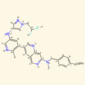 COc1ccc(CN(C)c2cc3ncc(-c4cc(Nc5cnn(CC(F)F)c5)cnc4C)cc3cn2)cc1